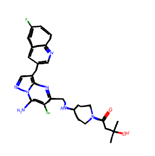 CC(C)(O)CC(=O)N1CCC(NCc2nc3c(-c4cnc5ccc(F)cc5c4)cnn3c(N)c2Br)CC1